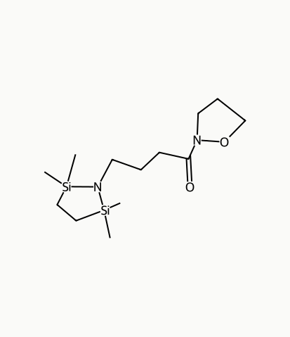 C[Si]1(C)CC[Si](C)(C)N1CCCC(=O)N1CCCO1